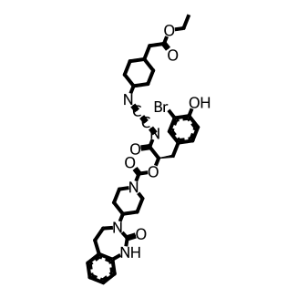 CCOC(=O)CC1CCC(N=C=C=NC(=O)[C@@H](Cc2ccc(O)c(Br)c2)OC(=O)N2CCC(N3CCc4ccccc4NC3=O)CC2)CC1